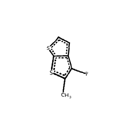 Cc1sc2sccc2c1F